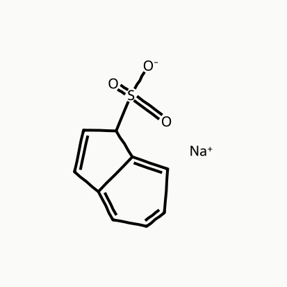 O=S(=O)([O-])C1C=Cc2ccccc21.[Na+]